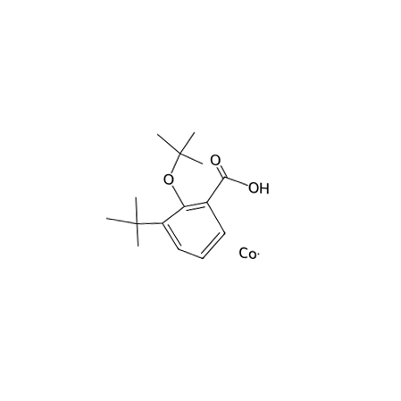 CC(C)(C)Oc1c(C(=O)O)cccc1C(C)(C)C.[Co]